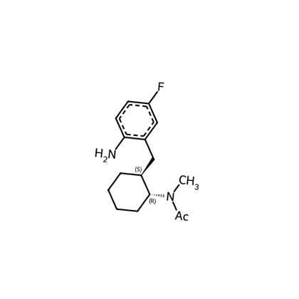 CC(=O)N(C)[C@@H]1CCCC[C@H]1Cc1cc(F)ccc1N